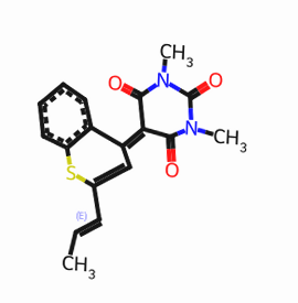 C/C=C/C1=CC(=C2C(=O)N(C)C(=O)N(C)C2=O)c2ccccc2S1